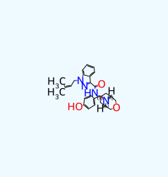 CC(C)=CCn1nc(C(=O)N[C@H]2C[C@H]3COC[C@@H](C2)N3Cc2ccc(O)cc2)c2ccccc21